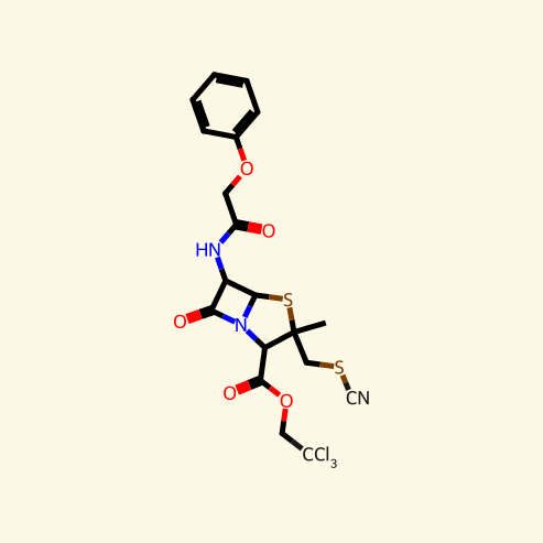 CC1(CSC#N)SC2C(NC(=O)COc3ccccc3)C(=O)N2C1C(=O)OCC(Cl)(Cl)Cl